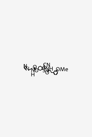 COc1cccc(CCC(=O)Nc2sc3c(c2C#N)CCC(OC(=O)NCCn2ccnc2)C3)c1